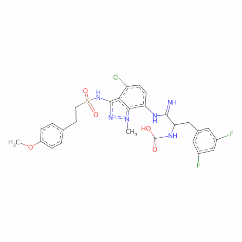 COc1ccc(CCS(=O)(=O)Nc2nn(C)c3c(NC(=N)C(Cc4cc(F)cc(F)c4)NC(=O)O)ccc(Cl)c23)cc1